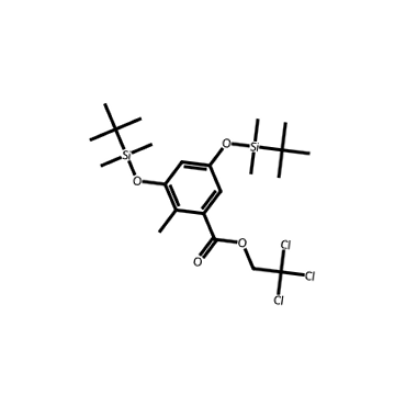 Cc1c(O[Si](C)(C)C(C)(C)C)cc(O[Si](C)(C)C(C)(C)C)cc1C(=O)OCC(Cl)(Cl)Cl